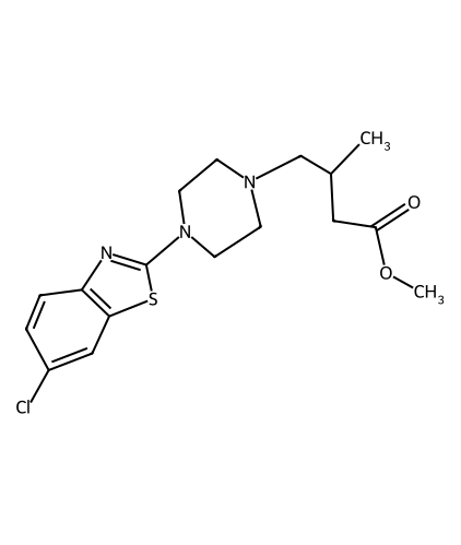 COC(=O)CC(C)CN1CCN(c2nc3ccc(Cl)cc3s2)CC1